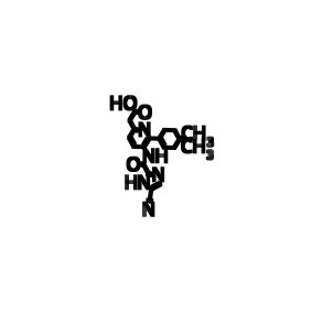 CC1(C)CC=C(c2nc(CC(=O)O)ccc2NC(=O)c2ncc(C#N)[nH]2)CC1